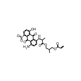 C=CC(=O)OCC(C)COC(=O)C(C)Nc1ccc(N)c2c1C(=O)c1c(O)ccc([N+](=O)[O-])c1C2=O